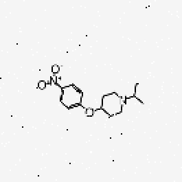 CC(C)N1CCC(Oc2ccc([N+](=O)[O-])cc2)CC1